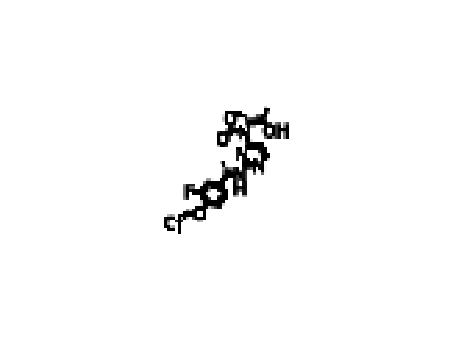 C[C@H](Nc1nccc(N2C(=O)OC[C@@H]2[C@@H](C)O)n1)c1ccc(O[CH2][Cf])c(F)c1